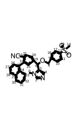 Cn1cncc1C(OCc1ccc(S(C)(=O)=O)cc1)c1ccc(C#N)c(-c2cccc3ccccc23)c1